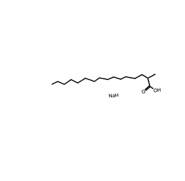 CCCCCCCCCCCCCCC(C)C(=O)O.[NaH]